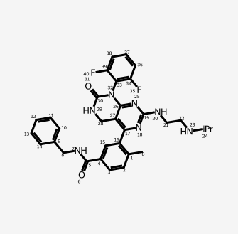 Cc1ccc(C(=O)NCc2ccccc2)cc1-c1nc(NCCNC(C)C)nc2c1CNC(=O)N2c1c(F)cccc1F